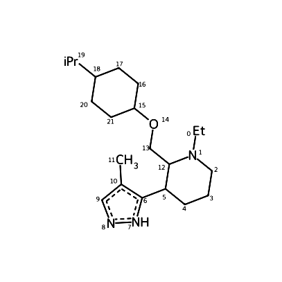 CCN1CCCC(c2[nH]ncc2C)C1COC1CCC(C(C)C)CC1